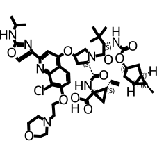 C=C[C@@H]1C[C@]1(NC(=O)[C@@H]1CC(Oc2cc(-c3coc(NC(C)C)n3)nc3c(Cl)c(OCCN4CCOCC4)ccc23)CN1C(=O)[C@@H](NC(=O)O[C@@H]1C[C@@H]2[C@H](C)[C@@H]2C1)C(C)(C)C)C(=O)O